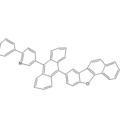 c1ccc2c(c1)ccc1c3cc(-c4c5ccccc5c(-c5ccc(-c6ccncc6)nc5)c5ccccc45)ccc3oc21